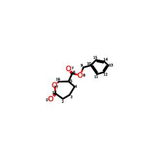 O=C1CCCC(C(=O)OCc2ccccc2)CO1